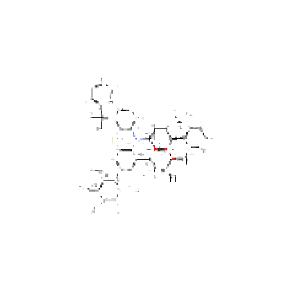 [2H]c1c([2H])c([2H])c(-c2cc(F)c(N(c3ccc4c(c3)C(C)(C)c3ccccc3-4)c3cc4c5c(ccc6cccc(c65)C4(C)C)c3)c(-c3c([2H])c([2H])c([2H])c([2H])c3[2H])c2)c([2H])c1[2H]